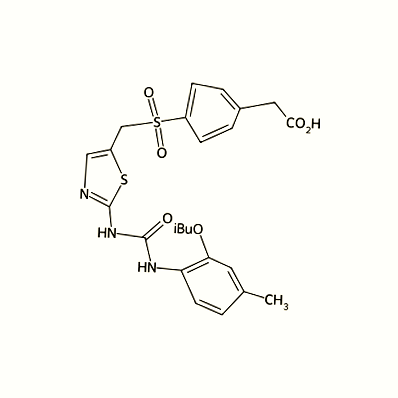 Cc1ccc(NC(=O)Nc2ncc(CS(=O)(=O)c3ccc(CC(=O)O)cc3)s2)c(OCC(C)C)c1